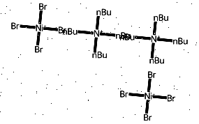 CCCC[N+](CCCC)(CCCC)CCCC.CCCC[N+](CCCC)(CCCC)CCCC.[Br][Ni-]([Br])([Br])[Br].[Br][Ni-]([Br])([Br])[Br]